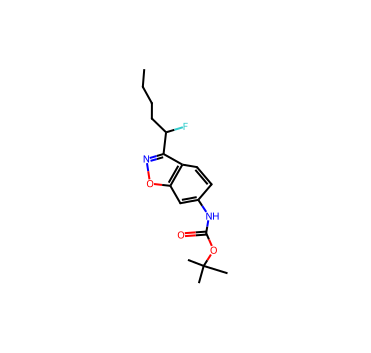 CCCCC(F)c1noc2cc(NC(=O)OC(C)(C)C)ccc12